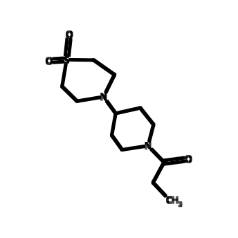 CCC(=O)N1CCC(N2CCS(=O)(=O)CC2)CC1